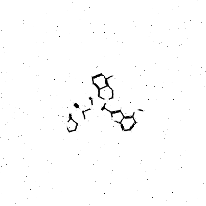 COc1cccc2[nH]c(C(=O)N3CCc4c(Cl)cccc4[C@H]3C(=O)N[C@H](C#N)C[C@@H]3CCNC3=O)cc12